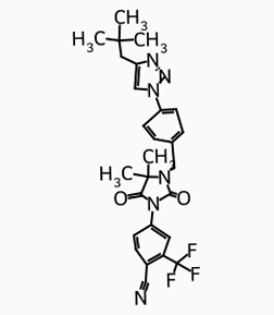 CC(C)(C)Cc1cn(-c2ccc(CN3C(=O)N(c4ccc(C#N)c(C(F)(F)F)c4)C(=O)C3(C)C)cc2)nn1